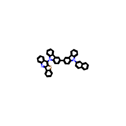 c1ccc2cc(-n3c4ccccc4c4cc(-c5ccc6c(c5)c5ccccc5n6-c5c6ccccc6nc6c5sc5ccccc56)ccc43)ccc2c1